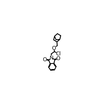 O=C1c2ccccc2C(=O)N1CC(Cl)OCC1CC2CCC1C2